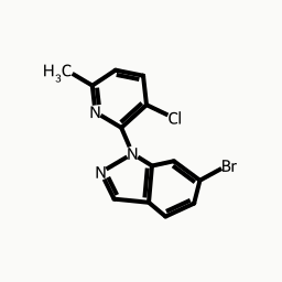 Cc1ccc(Cl)c(-n2ncc3ccc(Br)cc32)n1